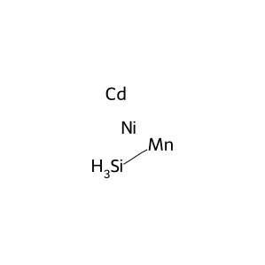 [Cd].[Ni].[SiH3][Mn]